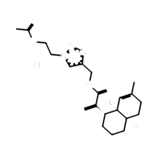 C=C(C(=O)OCc1cn([C@H](O)COC(C)=O)nn1)[C@@H]1CC[C@@H](C)[C@@H]2CCC(C)=C[C@@H]21